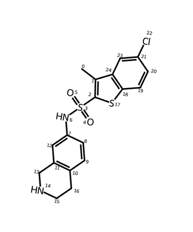 Cc1c(S(=O)(=O)Nc2ccc3c(c2)CNCC3)sc2ccc(Cl)cc12